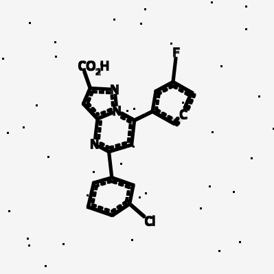 O=C(O)c1cc2nc(-c3cccc(Cl)c3)cc(-c3cccc(F)c3)n2n1